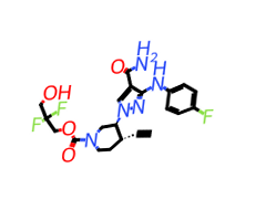 C#C[C@@H]1CCN(C(=O)OCC(F)(F)CO)C[C@H]1n1cc(C(N)=O)c(Nc2ccc(F)cc2)n1